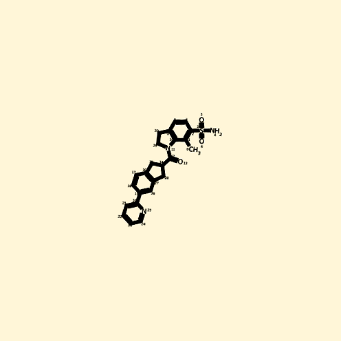 Cc1c(S(N)(=O)=O)ccc2c1N(C(=O)C1Cc3ccc(-c4ccccn4)cc3C1)CC2